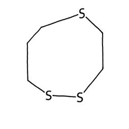 C1CSCCSSC1